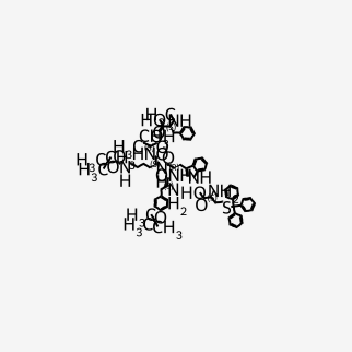 CC(C)[C@H](NC(=O)[C@H](CCCCNC(=O)OC(C)(C)C)NC(=O)[C@@H](Cc1c[nH]c2ccccc12)NC(=O)[C@@H](N)Cc1ccc(OC(C)(C)C)cc1)C(=O)O.CN[C@@H](Cc1ccccc1)C(=O)O.N[C@@H](CCSC(c1ccccc1)(c1ccccc1)c1ccccc1)C(=O)O